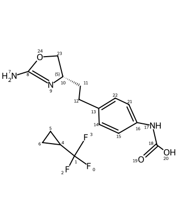 FC(F)(F)C1CC1.NC1=N[C@@H](CCc2ccc(NC(=O)O)cc2)CO1